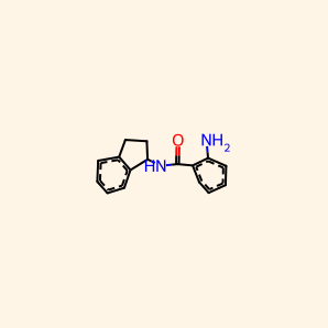 Nc1ccccc1C(=O)NC1CCc2ccccc21